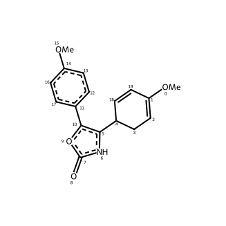 COC1=CCC(c2[nH]c(=O)oc2-c2ccc(OC)cc2)C=C1